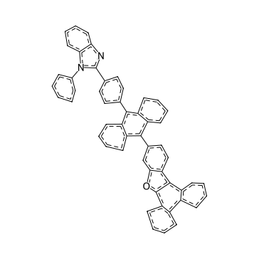 c1ccc(-n2c(-c3ccc(-c4c5ccccc5c(-c5ccc6c(c5)oc5c7ccccc7c7ccccc7c65)c5ccccc45)cc3)nc3ccccc32)cc1